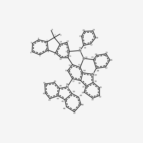 CC1(C)c2ccccc2-c2cc3c(cc21)N(c1ccccc1)B1c2ccccc2-n2c4ccccc4c4c(-n5c6ccccc6c6ccccc65)cc-3c1c42